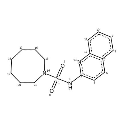 O=S(=O)(Nc1ccc2ccccc2n1)N1CCCCCCC1